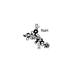 CCN1CCN(C(=O)N[C@H](C(=O)N[C@@H]2C(=O)N3C(C(=O)O)=C(CSc4nnnn4C)CS[C@H]23)c2ccc(N)cc2)C(=O)C1=O.[NaH]